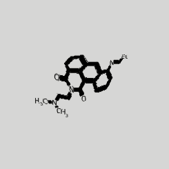 CC/C=N/c1cccc2c3c4c(cccc4cc12)C(=O)N(CCN(C)C)C3=O